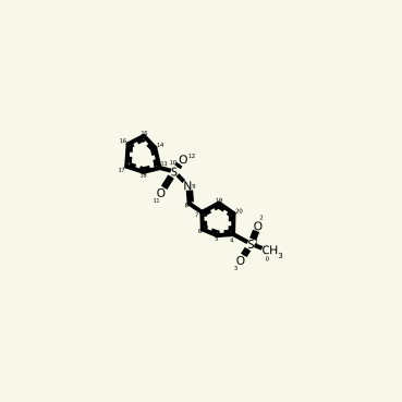 CS(=O)(=O)c1ccc(/C=N/S(=O)(=O)c2ccccc2)cc1